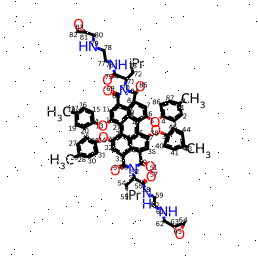 Cc1ccc(Oc2cc3c4c(cc(Oc5ccc(C)cc5)c5c6c(Oc7ccc(C)cc7)cc7c8c(cc(Oc9ccc(C)cc9)c(c2c45)c86)C(=O)N(C(CC(C)C)C(=O)NCCNCC2CO2)C7=O)C(=O)N(C(CC(C)C)C(=O)NCCNCC2CO2)C3=O)cc1